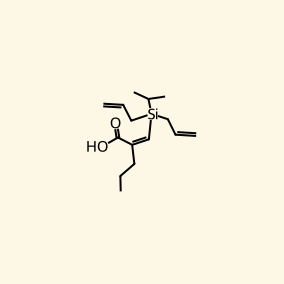 C=CC[Si](C=C(CCC)C(=O)O)(CC=C)C(C)C